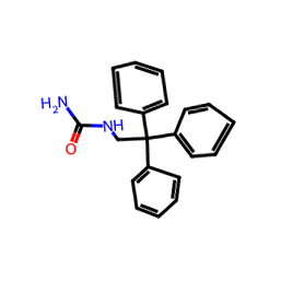 NC(=O)NCC(c1ccccc1)(c1ccccc1)c1ccccc1